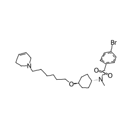 CN([C@H]1CC[C@H](OCCCCCCN2CC=CCC2)CC1)S(=O)(=O)c1ccc(Br)cc1